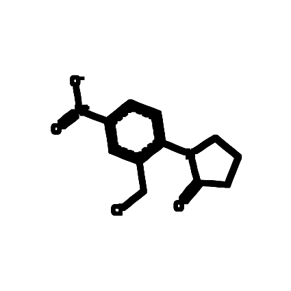 O=C1CCCN1c1ccc([N+](=O)[O-])cc1CCl